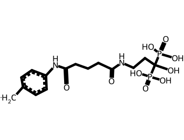 [CH2]c1ccc(NC(=O)CCCC(=O)NCCC(O)(P(=O)(O)O)P(=O)(O)O)cc1